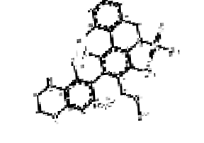 Cc1c(-c2c(C)c3c(c(C)c2[C@H](OC(C)(C)C)C(=O)O)N(S(C)(=O)=O)Cc2cccc(F)c2-3)ccc2c1NCCO2